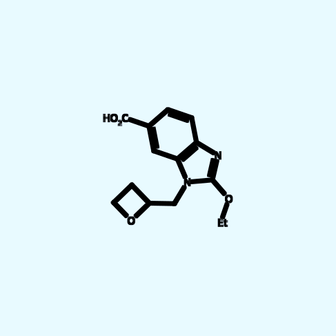 CCOc1nc2ccc(C(=O)O)cc2n1CC1CCO1